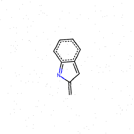 C=C1C=c2ccccc2=N1